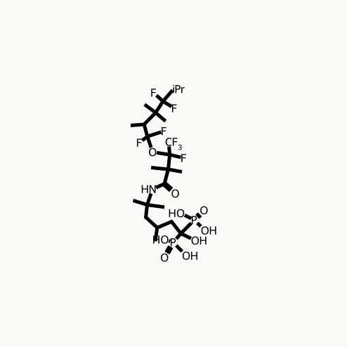 CC(CC(C)(C)NC(=O)C(C)(C)C(F)(OC(F)(F)C(C)C(C)(C)C(F)(F)C(C)C)C(F)(F)F)CC(O)(P(=O)(O)O)P(=O)(O)O